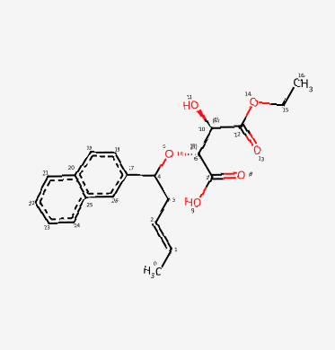 CC=CCC(O[C@@H](C(=O)O)[C@@H](O)C(=O)OCC)c1ccc2ccccc2c1